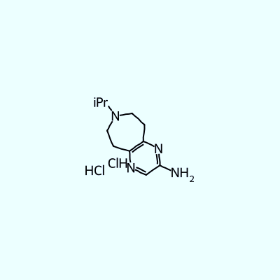 CC(C)N1CCc2ncc(N)nc2CC1.Cl.Cl